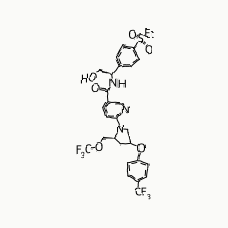 CCS(=O)(=O)c1ccc([C@H](CO)NC(=O)c2ccc(N3CC(Oc4ccc(C(F)(F)F)cc4)C[C@H]3COC(F)(F)F)nc2)cc1